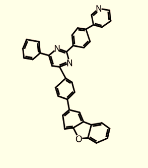 c1ccc(-c2cc(-c3ccc(-c4ccc5oc6ccccc6c5c4)cc3)nc(-c3ccc(-c4cccnc4)cc3)n2)cc1